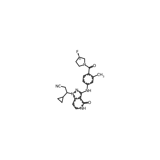 Cc1cc(Nc2nn(C(CC#N)C3CC3)c3cc[nH]c(=O)c23)ccc1C(=O)N1CC[C@@H](F)C1